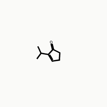 CC(C)C1=CCCC1=O